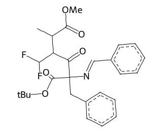 COC(=O)C(C)C(C(=O)C(Cc1ccccc1)(N=Cc1ccccc1)C(=O)OC(C)(C)C)C(F)F